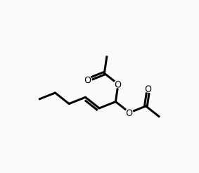 CCCC=CC(OC(C)=O)OC(C)=O